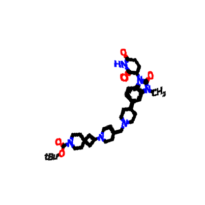 Cn1c(=O)n(C2CCC(=O)NC2=O)c2ccc(C3CCN(CC4CCN(C5CC6(CCN(C(=O)OC(C)(C)C)CC6)C5)CC4)CC3)cc21